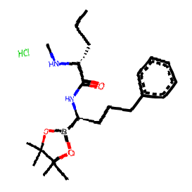 CCC[C@@H](NC)C(=O)N[C@@H](CCCc1ccccc1)B1OC(C)(C)C(C)(C)O1.Cl